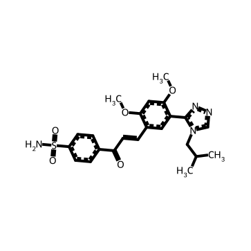 COc1cc(OC)c(-c2nncn2CC(C)C)cc1C=CC(=O)c1ccc(S(N)(=O)=O)cc1